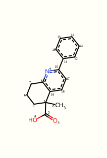 CC1(C(=O)O)CCCc2nc(-c3ccccc3)ccc21